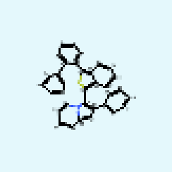 c1ccc(-c2ccccc2-c2sc(-c3c(-c4ccccc4)cc4ccccn34)c3ccccc23)cc1